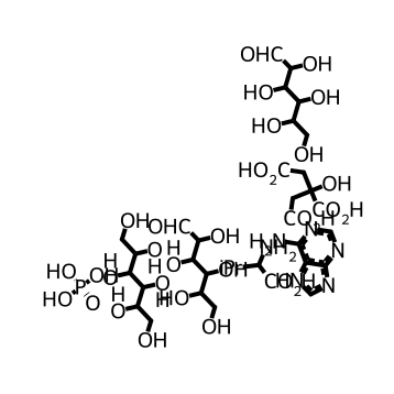 CC(C)C(N)C(=O)O.Nc1ncnc2nc[nH]c12.O=C(O)CC(O)(CC(=O)O)C(=O)O.O=CC(O)C(O)C(O)C(O)CO.O=CC(O)C(O)C(O)C(O)CO.O=P(O)(O)O.OCC(O)C(O)C(O)C(O)CO